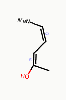 CN/C=C\C=C(/C)O